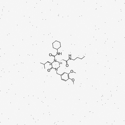 CCCCNC(=O)C[C@@H]1CN(Cc2ccc(OC)c(OC)c2)C(=O)[C@@H](CC(C)C)N1C(=O)NC1CCCCC1